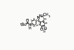 CC1=NN=C(c2ccc(NC(=O)C(C)(C)C)cc2)c2cc3c(cc2C1)OCO3